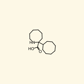 O=C(O)C1(C2CCCCCCC2)CCCCCCN1